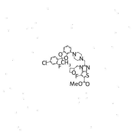 COC(=O)c1sc2nc(CN3CCN(c4cccc5c4O[C@](C)(c4ccc(Cl)cc4F)O5)CC3)n(C[C@@H]3CCO3)c2c1F